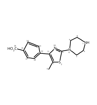 Cc1sc(N2CCNCC2)nc1-c1ccc(C(=O)O)cc1